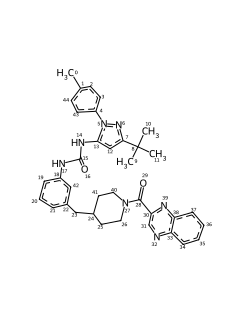 Cc1ccc(-n2nc(C(C)(C)C)cc2NC(=O)Nc2cccc(CC3CCN(C(=O)c4cnc5ccccc5n4)CC3)c2)cc1